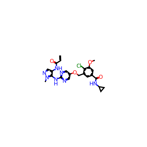 C=CC(=O)Nc1cnn(C)c1Nc1ncc(OCc2cc(C(=O)NC3CC3)cc(OC)c2Cl)cn1